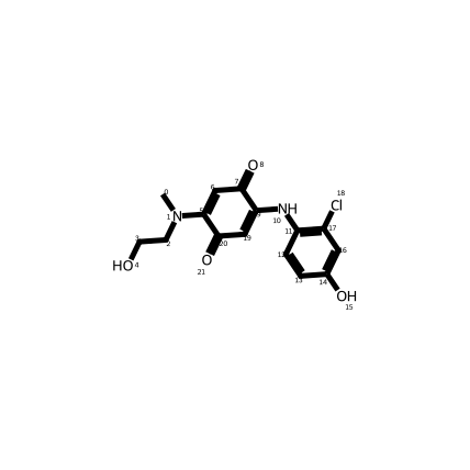 CN(CCO)C1=CC(=O)C(Nc2ccc(O)cc2Cl)=CC1=O